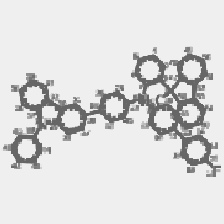 CC1(c2ccccc2N(c2ccc(-c3ccc(F)cc3)cc2)c2ccc(-c3ccc4c(c3)c3ccccc3n4-c3ccccc3)cc2)c2ccccc2-c2ccccc21